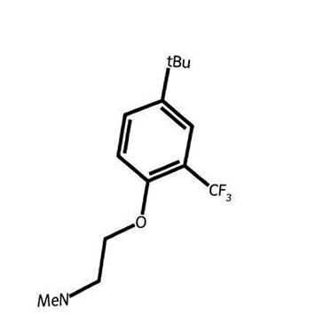 CNCCOc1ccc(C(C)(C)C)cc1C(F)(F)F